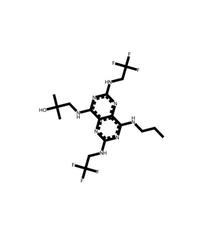 CCCNc1nc(NCC(F)(F)F)nc2c(NCC(C)(C)O)nc(NCC(F)(F)F)nc12